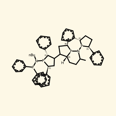 CCCCN(P(c1ccccc1)c1ccccc1)P1[C@H](c2ccccc2)C(C2C[C@@H](C)P3[C@@H]2CCC(C)N3P2[C@H](c3ccccc3)CC[C@H]2c2ccccc2)C[C@H]1c1ccccc1